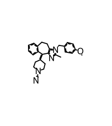 COc1ccc(Cn2c(C)nc3c2CCc2ccccc2C3=C2CCN(C#N)CC2)cc1